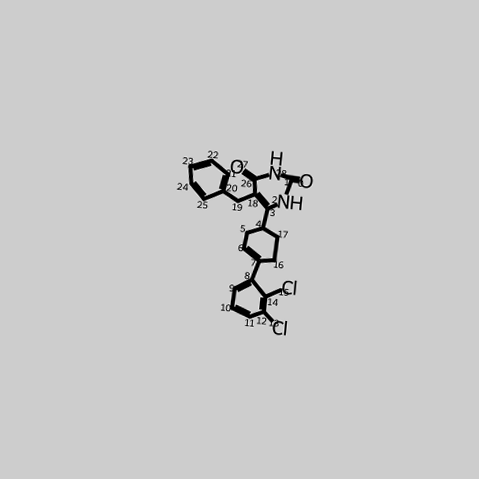 O=c1[nH]c(C2CC=C(c3cccc(Cl)c3Cl)CC2)c(Cc2ccccc2)c(=O)[nH]1